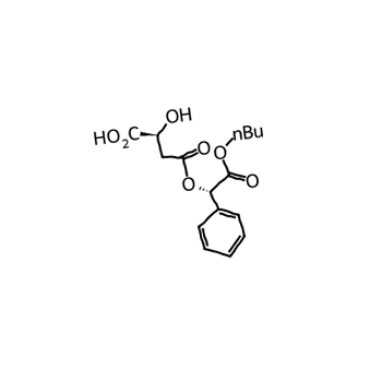 CCCCOC(=O)[C@@H](OC(=O)C[C@H](O)C(=O)O)c1ccccc1